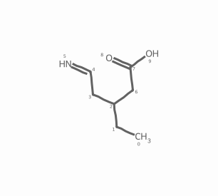 CCC(CC=N)CC(=O)O